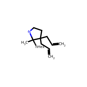 C=CCC1(CC=C)CC[N]C1(C)CCCCCC